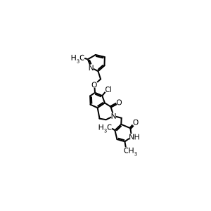 Cc1cccc(COc2ccc3c(c2Cl)C(=O)N(Cc2c(C)cc(C)[nH]c2=O)CC3)n1